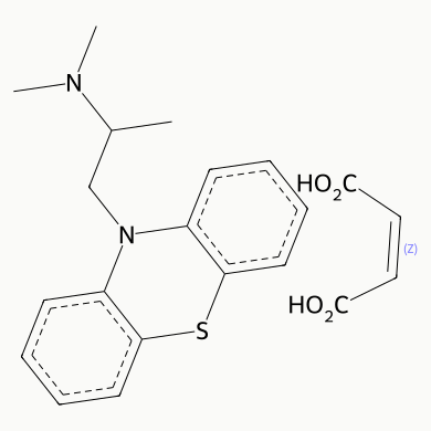 CC(CN1c2ccccc2Sc2ccccc21)N(C)C.O=C(O)/C=C\C(=O)O